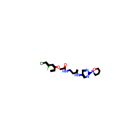 C=C/C(=C\C(F)=C\Cl)OCC(=O)NCCC(=C)Nc1cnc(N2CCCCO2)nc1